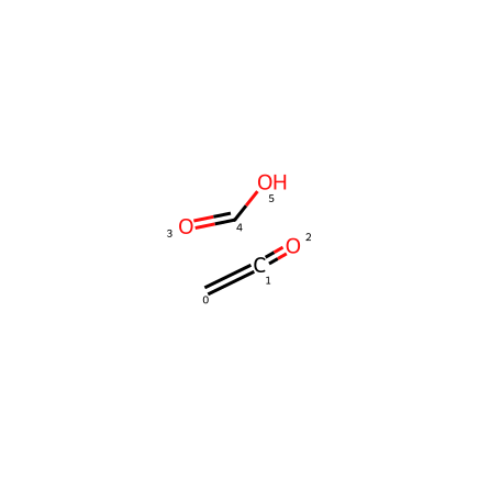 C=C=O.O=CO